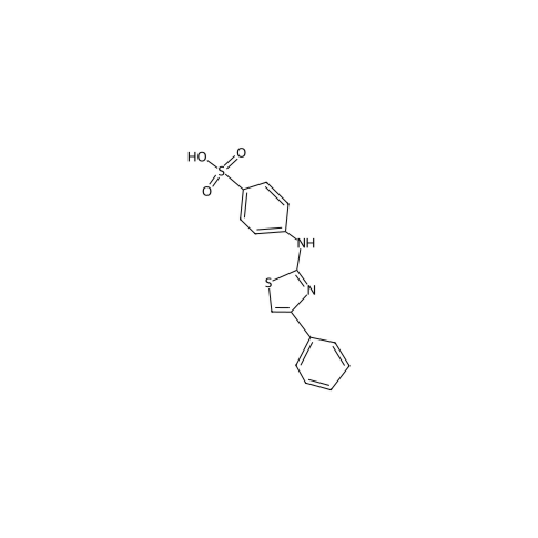 O=S(=O)(O)c1ccc(Nc2nc(-c3ccccc3)cs2)cc1